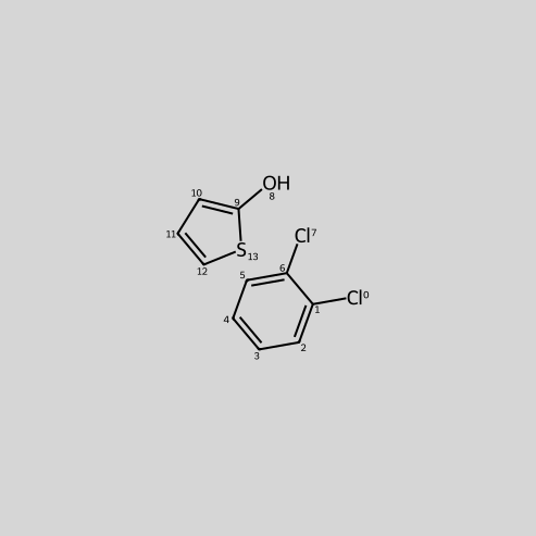 Clc1ccccc1Cl.Oc1cccs1